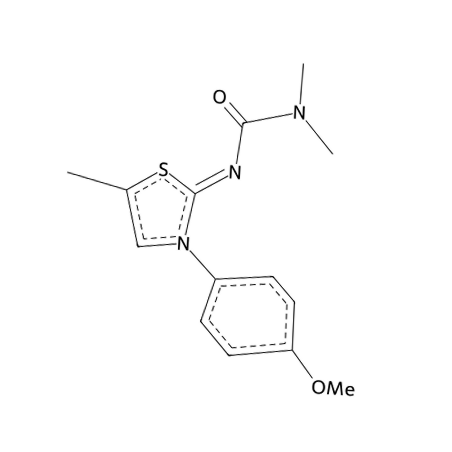 COc1ccc(-n2cc(C)sc2=NC(=O)N(C)C)cc1